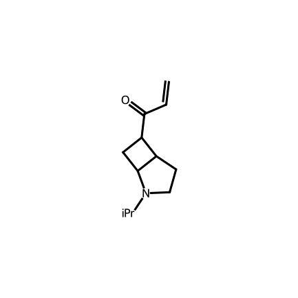 C=CC(=O)C1CC2C1CCN2C(C)C